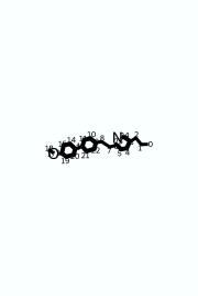 CCCc1ccc(CCc2ccc(-c3ccc(OC)cc3)cc2)nc1